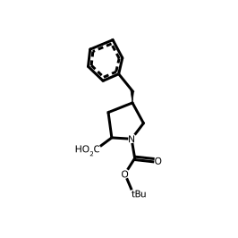 CC(C)(C)OC(=O)N1C[C@H](Cc2ccccc2)CC1C(=O)O